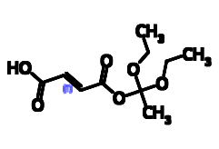 CCOC(C)(OCC)OC(=O)/C=C/C(=O)O